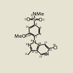 CNS(=O)(=O)c1ccc(-n2nc(C)c3cnc(Cl)cc32)c(OC)c1